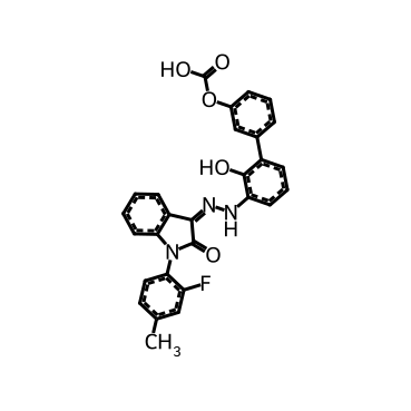 Cc1ccc(N2C(=O)C(=NNc3cccc(-c4cccc(OC(=O)O)c4)c3O)c3ccccc32)c(F)c1